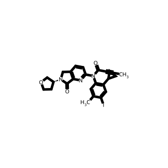 CC#CC(=O)N(c1ccc2c(n1)C(=O)N([C@@H]1CCOC1)C2)c1cc(C)c(I)cc1C1CC1